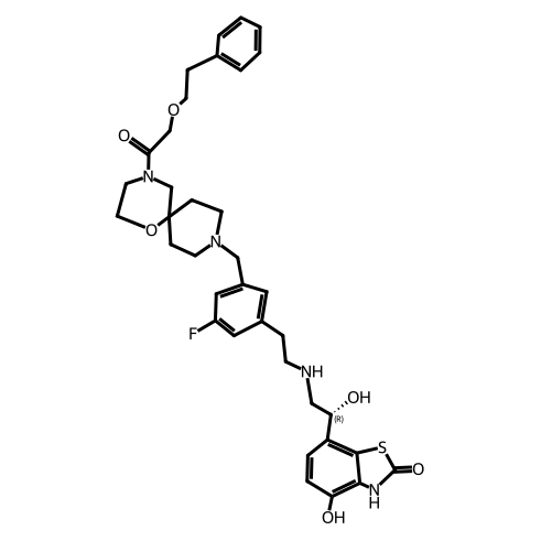 O=C(COCCc1ccccc1)N1CCOC2(CCN(Cc3cc(F)cc(CCNC[C@H](O)c4ccc(O)c5[nH]c(=O)sc45)c3)CC2)C1